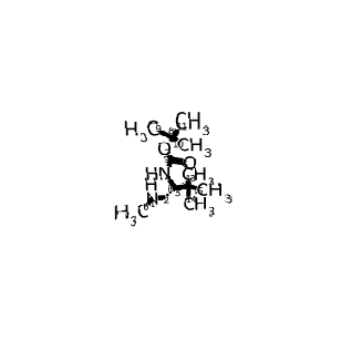 CNC[C@H](NC(=O)OC(C)(C)C)C(C)(C)C